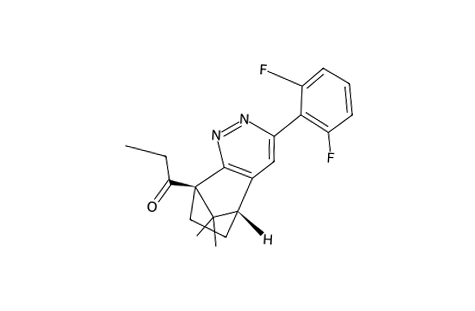 CCC(=O)[C@@]12CC[C@@H](c3cc(-c4c(F)cccc4F)nnc31)C2(C)C